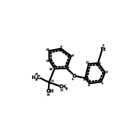 CCc1cccc(Oc2ccccc2C(C)(C)O)c1